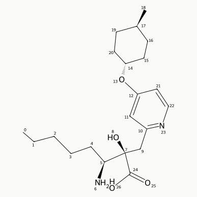 CCCCC[C@H](N)[C@](O)(Cc1cc(O[C@H]2CC[C@H](C)CC2)ccn1)C(=O)O